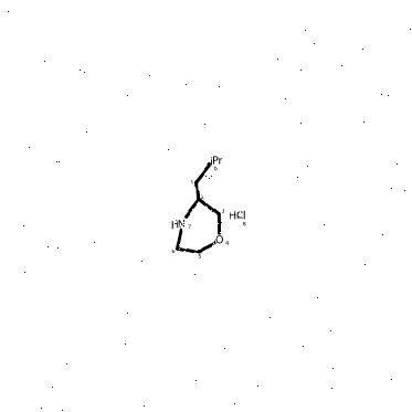 CC(C)CC1COCCN1.Cl